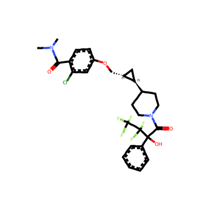 CN(C)C(=O)c1ccc(OC[C@@H]2C[C@H]2C2CCN(C(=O)C(O)(c3ccccc3)C(F)(F)C(F)(F)F)CC2)cc1Cl